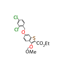 CCOC(=O)c1sc2cc(OCc3ccc(Cl)cc3Cl)ccc2c1OCOC